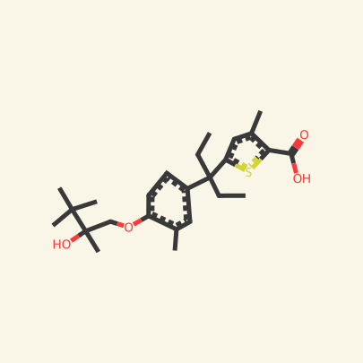 CCC(CC)(c1ccc(OCC(C)(O)C(C)(C)C)c(C)c1)c1cc(C)c(C(=O)O)s1